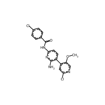 COc1cnc(Cl)cc1-c1ccc(NC(=O)c2ccc(Cl)cc2)nc1N